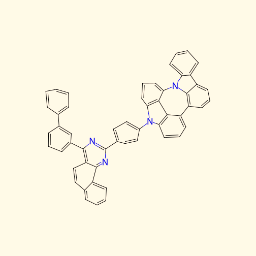 c1ccc(-c2cccc(-c3nc(-c4ccc(-n5c6cccc7c8cccc9c%10ccccc%10n(c%10cccc5c%10c76)c89)cc4)nc4c3ccc3ccccc34)c2)cc1